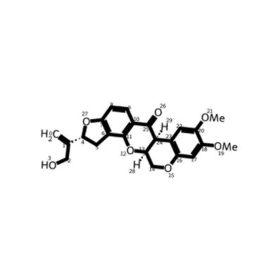 C=C(CO)[C@H]1Cc2c(ccc3c2O[C@@H]2COc4cc(OC)c(OC)cc4[C@@H]2C3=O)O1